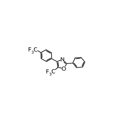 FC(F)(F)c1ccc(-c2nc(-c3ccccc3)oc2C(F)(F)F)cc1